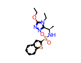 CCOc1nnc([C@@H](C)NS(=O)(=O)c2cc3ccccc3s2)n1CC